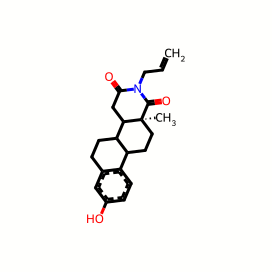 C=CCN1C(=O)CC2C3CCc4cc(O)ccc4C3CC[C@]2(C)C1=O